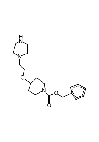 O=C(OCc1ccccc1)N1CCC(OCCN2CCNCC2)CC1